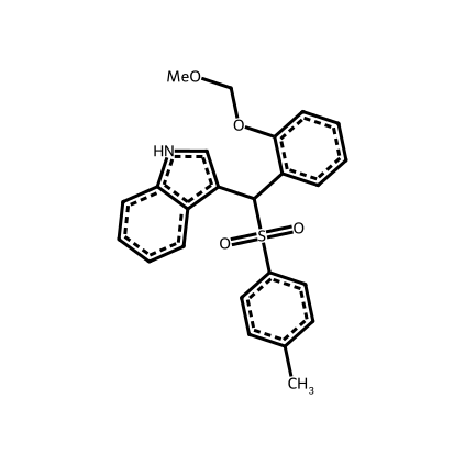 COCOc1ccccc1C(c1c[nH]c2ccccc12)S(=O)(=O)c1ccc(C)cc1